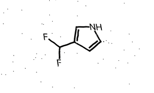 FC(F)c1c[c][nH]c1